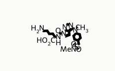 CNS(=O)(=O)CC1CCC(N(C)c2ncnc3c2ccn3C(=O)NC(CCCCN)C(=O)O)CC1